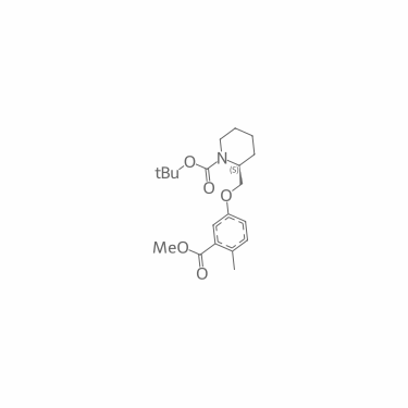 COC(=O)c1cc(OC[C@@H]2CCCCN2C(=O)OC(C)(C)C)ccc1C